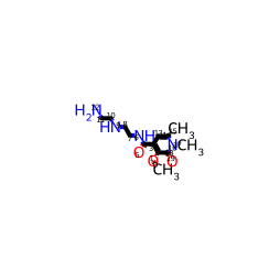 COc1c(C(=O)NCCNCCN)cc(C)n(C)c1=O